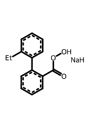 CCc1ccccc1-c1ccccc1C(=O)OO.[NaH]